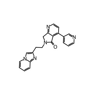 O=C1c2c(-c3cccnc3)ccnc2CN1CCc1cn2ccccc2n1